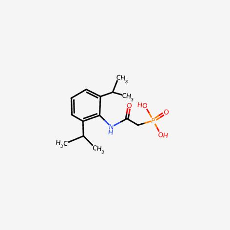 CC(C)c1cccc(C(C)C)c1NC(=O)CP(=O)(O)O